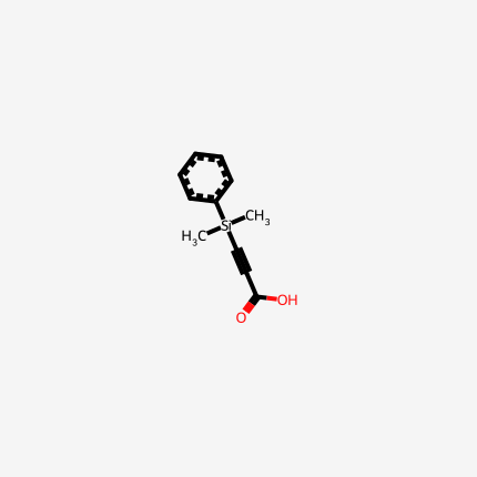 C[Si](C)(C#CC(=O)O)c1ccccc1